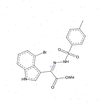 COC(=O)/C(=N\NS(=O)(=O)c1ccc(C)cc1)c1c[nH]c2cccc(Br)c12